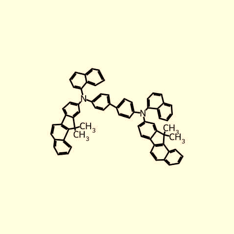 CC1(C)c2cc(N(c3ccc(-c4ccc(N(c5ccc6c(c5)C(C)(C)c5c-6ccc6ccccc56)c5cccc6ccccc56)cc4)cc3)c3cccc4ccccc34)ccc2-c2ccc3ccccc3c21